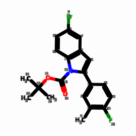 Cc1cc(-c2cc3cc(Br)ccc3n2C(=O)OC(C)(C)C)ccc1F